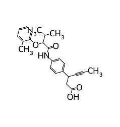 CC#CC(CC(=O)O)c1ccc(NC(=O)C(Oc2ccccc2C)C(C)C)cc1